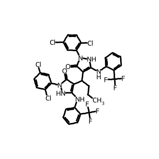 CCCC(c1c(Nc2ccccc2C(F)(F)F)[nH]n(-c2cc(Cl)ccc2Cl)c1=O)c1c(Nc2ccccc2C(F)(F)F)[nH]n(-c2cc(Cl)ccc2Cl)c1=O